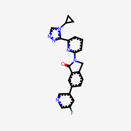 O=C1c2cc(-c3cncc(F)c3)ccc2CN1c1cccc(-c2nncn2C2CC2)n1